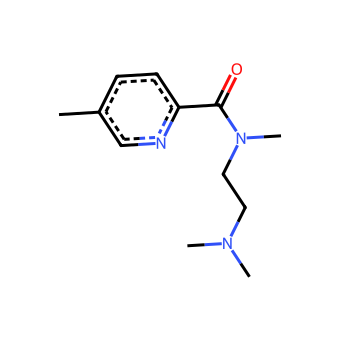 Cc1ccc(C(=O)N(C)CCN(C)C)nc1